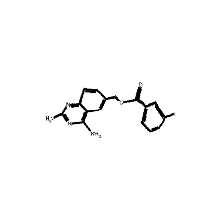 Nc1nc(N)c2cc(COC(=O)c3cccc(I)c3)ccc2n1